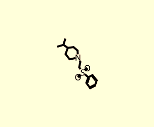 CC(C)C1CCN(CCS(=O)(=O)c2ccccc2)CC1